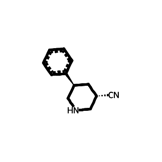 N#C[C@@H]1CNC[C@@H](c2ccccc2)C1